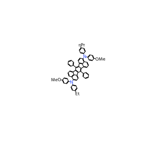 CCCc1ccc(N(c2ccc(OC)cc2)c2ccc3c4c(-c5ccccc5)c5c6cccc7c(N(c8ccc(CC)cc8)c8ccc(OC)cc8)ccc(c5c(-c5ccccc5)c4c4cccc2c43)c76)cc1